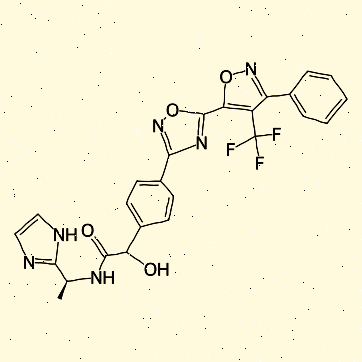 C[C@H](NC(=O)C(O)c1ccc(-c2noc(-c3onc(-c4ccccc4)c3C(F)(F)F)n2)cc1)c1ncc[nH]1